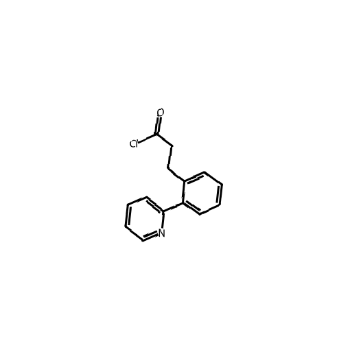 O=C(Cl)CCc1ccccc1-c1ccccn1